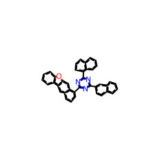 c1ccc2cc(-c3nc(-c4cccc5ccccc45)nc(-c4cccc5cc6c(cc45)oc4ccccc46)n3)ccc2c1